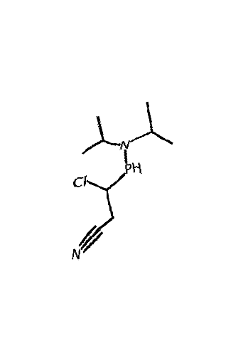 CC(C)N(PC(Cl)CC#N)C(C)C